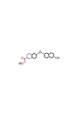 CC(C)(C)OC(=O)N1CCc2cc(C3CC3c3ccc4cc(C#N)ccc4c3)ccc2C1